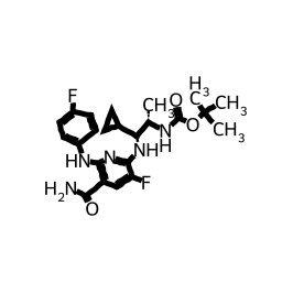 C[C@H](NC(=O)OC(C)(C)C)[C@H](Nc1nc(Nc2ccc(F)cc2)c(C(N)=O)cc1F)C1CC1